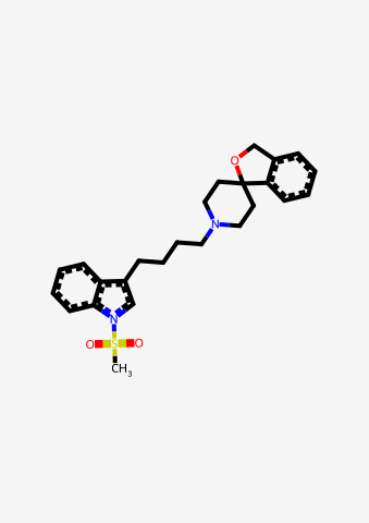 CS(=O)(=O)n1cc(CCCCN2CCC3(CC2)OCc2ccccc23)c2ccccc21